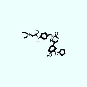 CCN(CC)CCC(=O)Nc1ccc(CN2N=C(c3ccc(OC)c(OC4CCCC4)c3)CSC2=O)cc1